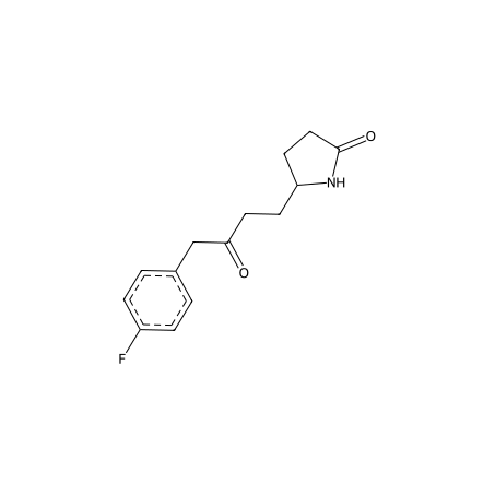 O=C(CCC1CCC(=O)N1)Cc1ccc(F)cc1